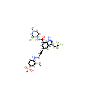 COc1cc(S(C)(=O)=O)ccc1NCC#Cc1cc(C(=O)N[C@@H]2CCN(C)C[C@@H]2F)c2[nH]cc(CC(F)(F)F)c2c1